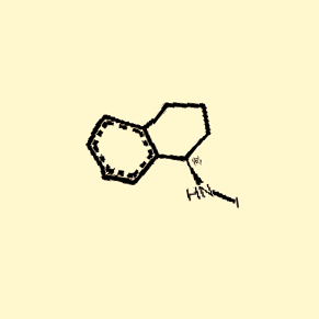 IN[C@@H]1CCCc2ccccc21